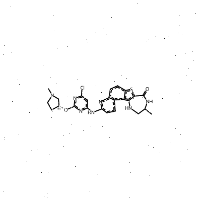 CC1CNc2c(sc3ccc4nc(Nc5cc(Cl)nc(O[C@@H]6CCN(C)C6)n5)ccc4c23)C(=O)N1